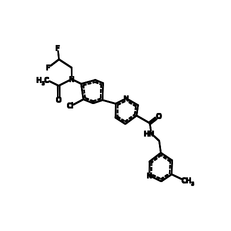 CC(=O)N(CC(F)F)c1ccc(-c2ccc(C(=O)NCc3cncc(C)c3)cn2)cc1Cl